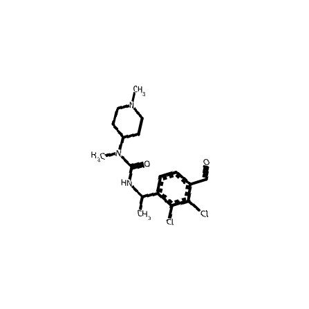 CC(NC(=O)N(C)C1CCN(C)CC1)c1ccc(C=O)c(Cl)c1Cl